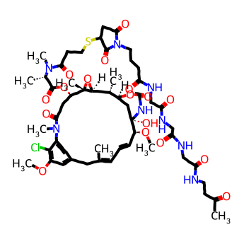 COc1cc2cc(c1Cl)N(C)C(=O)C[C@H](OC(=O)[C@H](C)N(C)C(=O)CCSC1CC(=O)N(CCCC(=O)NCC(=O)NCC(=O)NCC(=O)NCCC(C)=O)C1=O)[C@]1(C)O[C@H]1[C@H](C)[C@@H]1C[C@@](O)(NC(=O)O1)[C@H](OC)/C=C/C=C(\C)C2